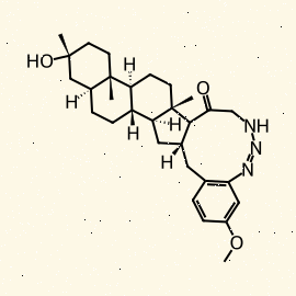 COc1ccc2c(c1)/N=N\NCC(=O)C1[C@H](C2)C[C@H]2[C@@H]3CC[C@H]4C[C@](C)(O)CC[C@]4(C)[C@H]3CC[C@]12C